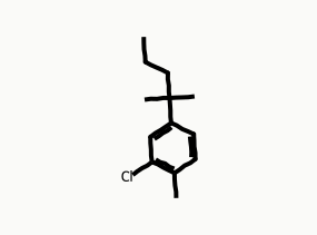 CCCC(C)(C)c1ccc(C)c(Cl)c1